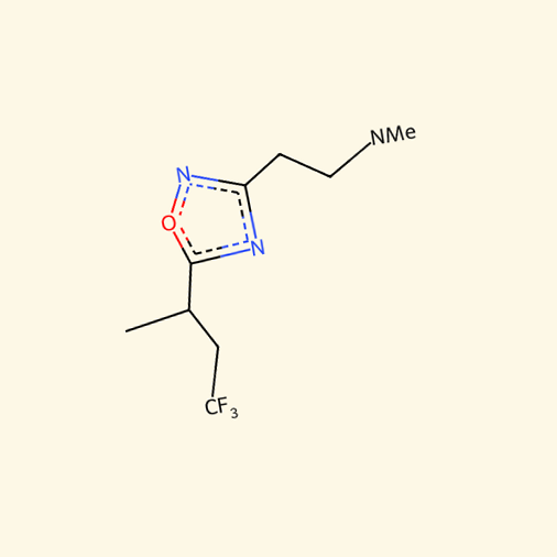 CNCCc1noc(C(C)CC(F)(F)F)n1